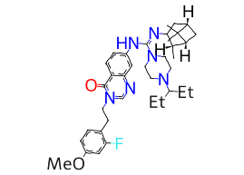 CCC(CC)N1CCN(/C(=N\C2C[C@@H]3C[C@H]([C@@H]2C)C3(C)C)Nc2ccc3c(=O)n(CCc4ccc(OC)cc4F)cnc3c2)CC1